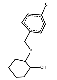 OC1CCCCC1SCc1ccc(Cl)cc1